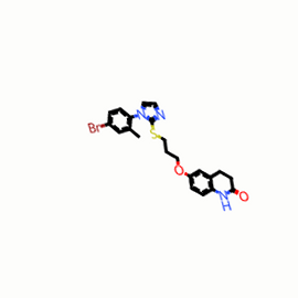 Cc1cc(Br)ccc1-n1ccnc1SCCCOc1ccc2c(c1)CCC(=O)N2